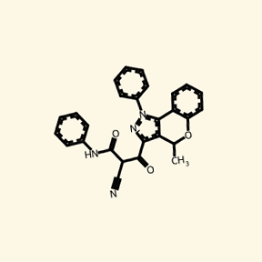 CC1Oc2ccccc2-c2c1c(C(=O)C(C#N)C(=O)Nc1ccccc1)nn2-c1ccccc1